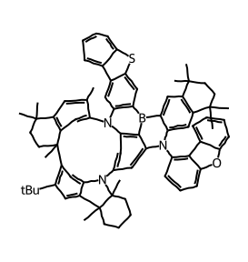 Cc1cc2c3cc1N1c4cc5c(cc4B4c6cc7c(cc6N(c6cccc8oc9ccccc9c68)c6cc(cc1c64)N1c4cc(c(C(C)(C)C)cc4C4(C)CCCCC14C)C3(C)CCC2(C)C)C(C)(C)CCC7(C)C)sc1ccccc15